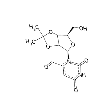 CC1(C)OC2C(O1)[C@@H](CO)O[C@H]2n1c(C=O)cc(=O)[nH]c1=O